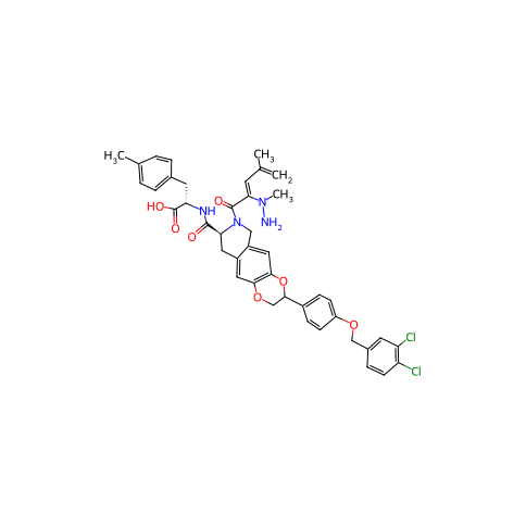 C=C(C)/C=C(/C(=O)N1Cc2cc3c(cc2C[C@H]1C(=O)N[C@@H](Cc1ccc(C)cc1)C(=O)O)OCC(c1ccc(OCc2ccc(Cl)c(Cl)c2)cc1)O3)N(C)N